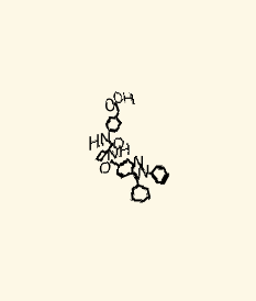 O=C(O)Cc1ccc(NC(=O)C2(NC(=O)c3ccc4c(C5CCCCC5)n(-c5ccccc5)nc4c3)CCC2)cc1